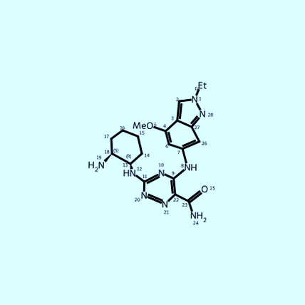 CCn1cc2c(OC)cc(Nc3nc(N[C@@H]4CCCC[C@@H]4N)nnc3C(N)=O)cc2n1